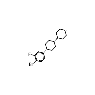 Fc1cc([C@H]2CC[C@H](C3CC[CH]CC3)CC2)ccc1Br